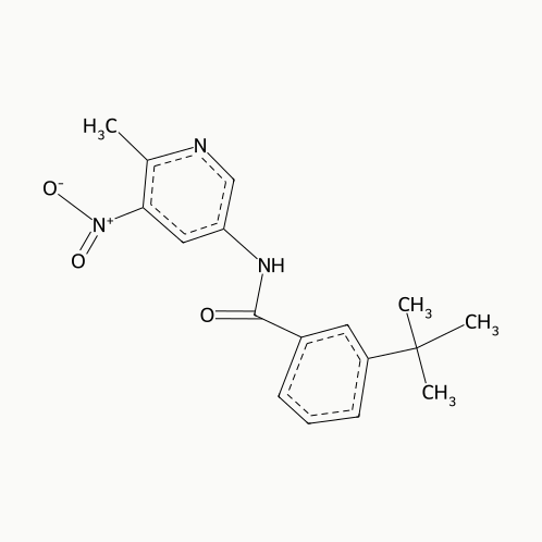 Cc1ncc(NC(=O)c2cccc(C(C)(C)C)c2)cc1[N+](=O)[O-]